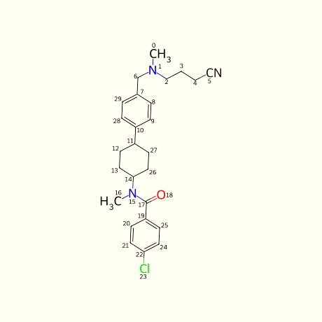 CN(CCCC#N)Cc1ccc(C2CCC(N(C)C(=O)c3ccc(Cl)cc3)CC2)cc1